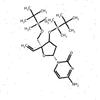 C=C[C@]1(CO[Si](C)(C)C(C)(C)C)O[C@@H](n2ccc(N)nc2=O)CC1O[Si](C)(C)C(C)(C)C